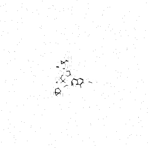 C=C[C@@H]1C[C@]1(NC(=O)[C@@H]1C[C@@H](Oc2cc(SCC)nc3c(C)c(OCCOC)ccc23)CN1C(=O)[C@@H](NC(=O)O[C@@H]1C[C@@H]2C[C@@H]2C1)C(C)(C)C)C(=O)O